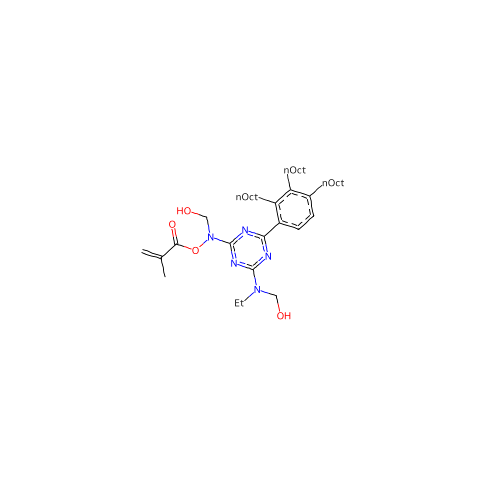 C=C(C)C(=O)ON(CO)c1nc(-c2ccc(CCCCCCCC)c(CCCCCCCC)c2CCCCCCCC)nc(N(CC)CO)n1